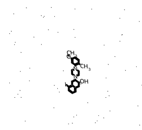 COc1ccc(C)c(N2CCN([C@H]3Cc4c(I)cccc4C[C@@H]3O)CC2)c1